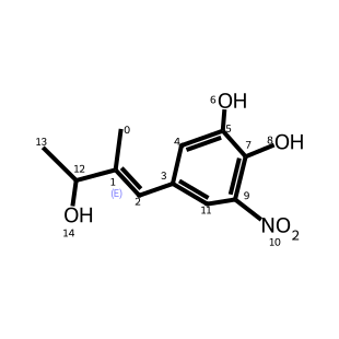 C/C(=C\c1cc(O)c(O)c([N+](=O)[O-])c1)C(C)O